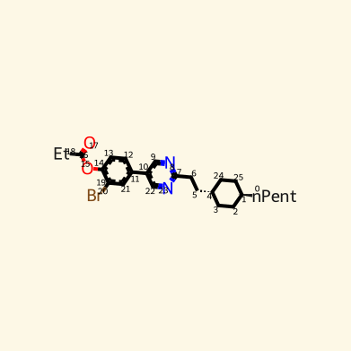 CCCCC[C@H]1CC[C@H](CCc2ncc(-c3ccc(OC(=O)CC)c(Br)c3)cn2)CC1